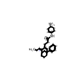 CC/C=C1\C2CCCC(c3ccccc3)(C2)CC1CCC(=O)N[C@H]1CC[C@H](N)CC1